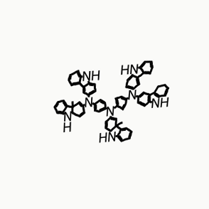 CC12C=C(N(c3ccc(N(C4=CC5(C)c6ccccc6NC5C=C4)c4ccc5[nH]c6ccccc6c5c4)cc3)c3ccc(N(c4ccc5[nH]c6c(c5c4)CCC=C6)c4ccc5[nH]c6ccccc6c5c4)cc3)C=CC1Nc1ccccc12